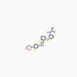 C=CC(=O)Nc1cccc(Oc2nccc3sc(Nc4ccc(N5CCOCC5)c(F)c4)cc23)c1